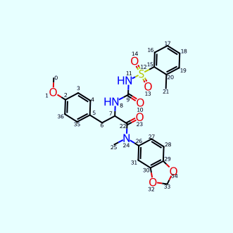 COc1ccc(CC(NC(=O)NS(=O)(=O)c2ccccc2C)C(=O)N(C)c2ccc3c(c2)OCO3)cc1